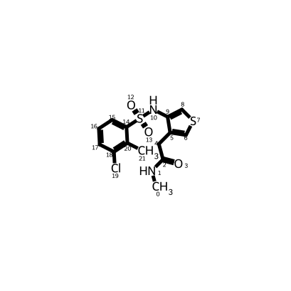 CNC(=O)Cc1cscc1NS(=O)(=O)c1cccc(Cl)c1C